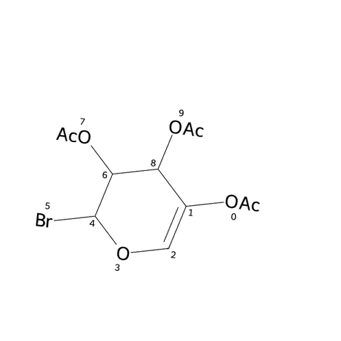 CC(=O)OC1=COC(Br)C(OC(C)=O)C1OC(C)=O